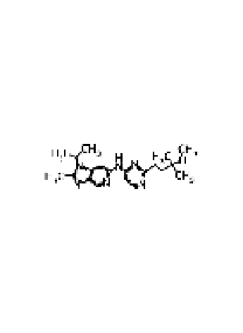 COC(C)(C)CCc1nccc(Nc2cc3c(cn2)nc(C)n3C(C)C)n1